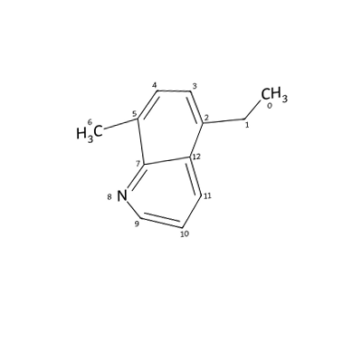 CCc1ccc(C)c2ncccc12